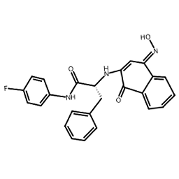 O=C1C(N[C@H](Cc2ccccc2)C(=O)Nc2ccc(F)cc2)=CC(=NO)c2ccccc21